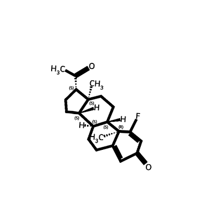 CC(=O)[C@H]1CC[C@H]2[C@@H]3CCC4=CC(=O)C=C(F)[C@]4(C)[C@H]3CC[C@]12C